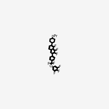 CCCC1CCC(c2ccc3cc(-c4ccc(C(F)(F)Oc5cc(F)c(F)c(F)c5)cc4)c(F)c(F)c3c2F)CC1